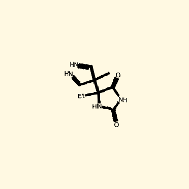 CCC1(C(C)(C=N)C=N)NC(=O)NC1=O